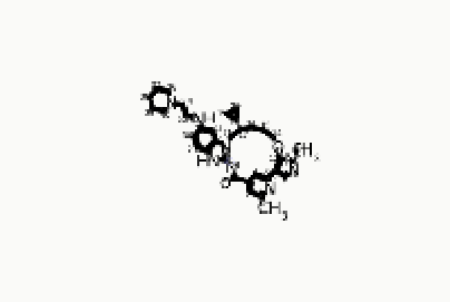 Cc1cc2cc(n1)-c1cnn(C)c1OCCC[C@@H](C1CC1)CN1/C(=N/C2=O)Nc2ccc(NCCN3CCCCC3)cc21